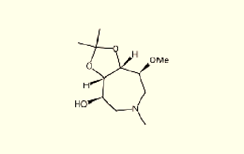 CO[C@H]1CN(C)C[C@@H](O)[C@@H]2OC(C)(C)O[C@@H]21